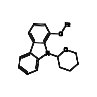 CCOc1cccc2c3ccccc3n(C3CCCCO3)c12